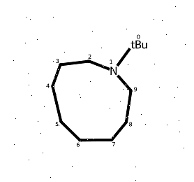 CC(C)(C)N1CCCCCCCC1